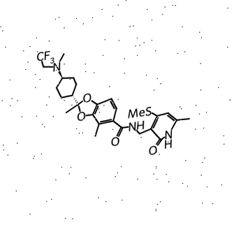 CSc1cc(C)[nH]c(=O)c1CNC(=O)c1ccc2c(c1C)OC(C)([C@H]1CC[C@H](N(C)CC(F)(F)F)CC1)O2